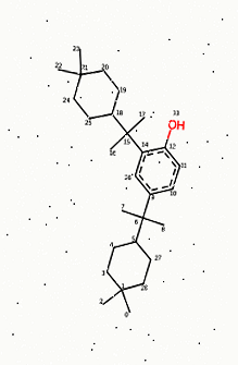 CC1(C)CCC(C(C)(C)c2ccc(O)c(C(C)(C)C3CCC(C)(C)CC3)c2)CC1